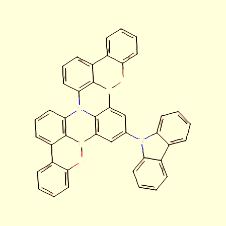 c1ccc2c(c1)OB1c3cc(-n4c5ccccc5c5ccccc54)cc4c3N(c3cccc-2c31)c1cccc2c1B4Sc1ccccc1-2